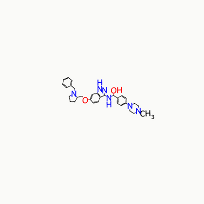 CN1CCN(c2ccc(C(O)Nc3n[nH]c4cc(OCC5CCCN5Cc5ccccc5)ccc34)cc2)CC1